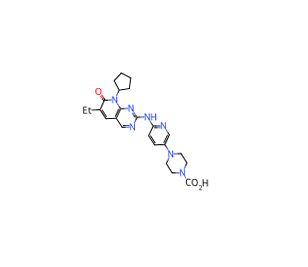 CCc1cc2cnc(Nc3ccc(N4CCN(C(=O)O)CC4)cn3)nc2n(C2CCCC2)c1=O